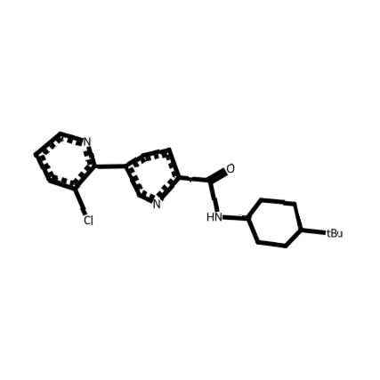 CC(C)(C)C1CCC(NC(=O)c2ccc(-c3ncccc3Cl)cn2)CC1